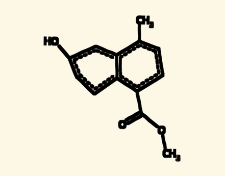 COC(=O)c1ccc(C)c2cc(O)ccc12